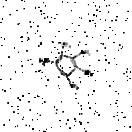 Bc1c(N)cc(N)c(B)c1N